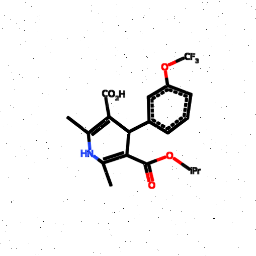 CC1=C(C(=O)O)C(c2cccc(OC(F)(F)F)c2)C(C(=O)OC(C)C)=C(C)N1